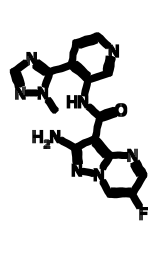 Cn1ncnc1-c1ccncc1NC(=O)c1c(N)nn2cc(F)cnc12